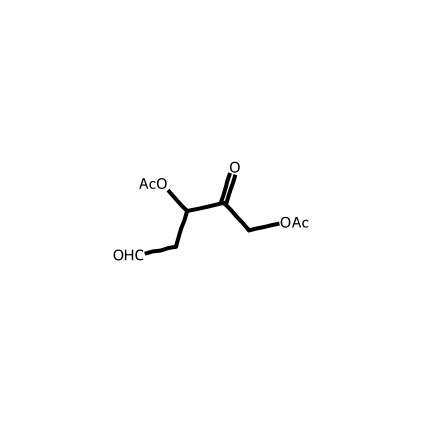 CC(=O)OCC(=O)C(CC=O)OC(C)=O